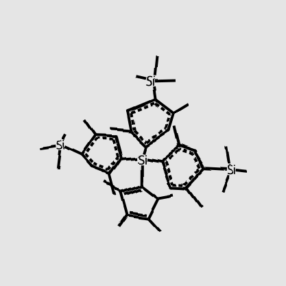 CC1=C(C)C(C)C([Si](c2cc(C)c([Si](C)(C)C)cc2C)(c2cc(C)c([Si](C)(C)C)cc2C)c2cc(C)c([Si](C)(C)C)cc2C)=C1C